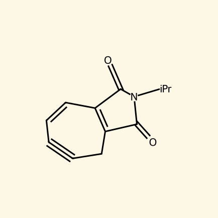 CC(C)N1C(=O)C2=C(CC#CC=C2)C1=O